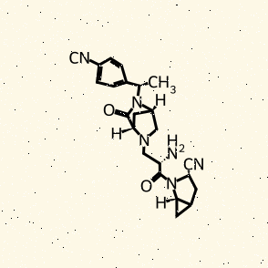 [C-]#[N+]c1ccc([C@@H](C)N2C(=O)[C@@H]3C[C@H]2CN3C[C@H](N)C(=O)N2[C@H](C#N)CC3C[C@@H]32)cc1